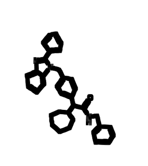 O=C(NCc1ccccc1)C(c1ccc(Cn2c(-c3ccccc3)nc3ccccc32)cc1)C1CCCCCC1